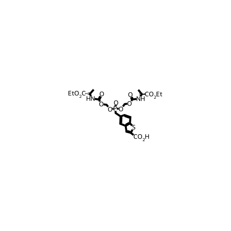 CCOC(=O)[C@H](C)NC(=O)OCOP(=O)(Cc1ccc2sc(C(=O)O)cc2c1)OCOC(=O)N[C@@H](C)C(=O)OCC